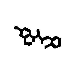 CC(=Cc1ccccc1F)C(=O)Nc1ccc(Cl)cc1C(=O)O